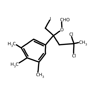 Cc1cc(C(CI)(CC(C)(Cl)Cl)OC=O)cc(C)c1C